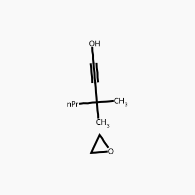 C1CO1.CCCC(C)(C)C#CO